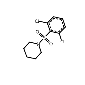 O=S(=O)(c1c(Cl)cccc1Cl)N1CC[CH]CC1